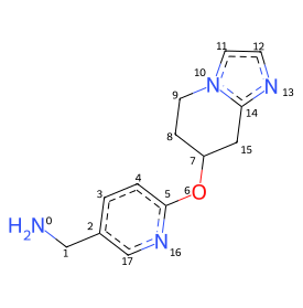 NCc1ccc(OC2CCn3ccnc3C2)nc1